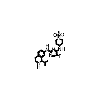 CC(C)C1NCCc2ccc(Nc3ncc(F)c(NC4CCN(S(C)(=O)=O)CC4)n3)cc21